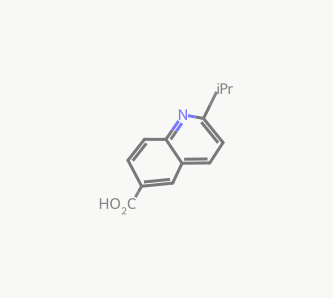 CC(C)c1ccc2cc(C(=O)O)ccc2n1